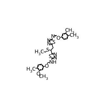 CCSC(Cc1nnc(/N=C\Oc2ccc(C)c(C)c2)s1)c1nnc(NCOc2ccc(C)c(OC)c2)s1